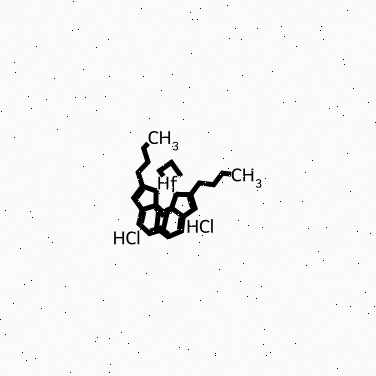 CCCCC1=Cc2ccccc2[CH]1[Hf]1([CH]2C(CCCC)=Cc3ccccc32)[CH2]C[CH2]1.Cl.Cl